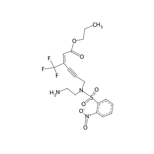 CCCOC(=O)/C=C(\C#CCN(CCN)S(=O)(=O)c1ccccc1[N+](=O)[O-])C(F)(F)F